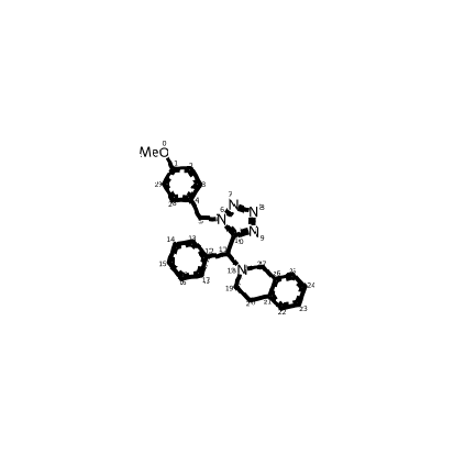 COc1ccc(Cn2nnnc2C(c2ccccc2)N2CCc3ccccc3C2)cc1